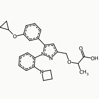 CC(OCc1cc(-c2cccc(OC3CC3)c2)n(-c2ccccc2N2CCC2)n1)C(=O)O